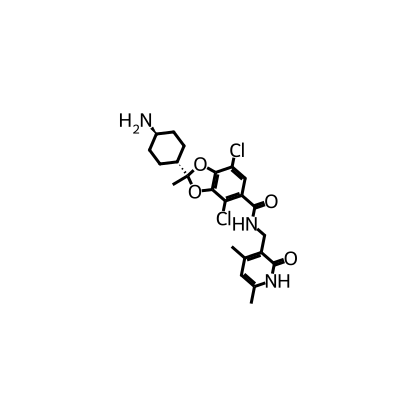 Cc1cc(C)c(CNC(=O)c2cc(Cl)c3c(c2Cl)OC(C)([C@H]2CC[C@H](N)CC2)O3)c(=O)[nH]1